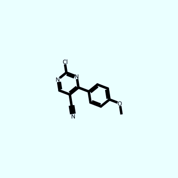 COc1ccc(-c2nc(Cl)ncc2C#N)cc1